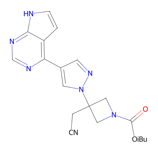 CC(C)COC(=O)N1CC(CC#N)(n2cc(-c3ncnc4[nH]ccc34)cn2)C1